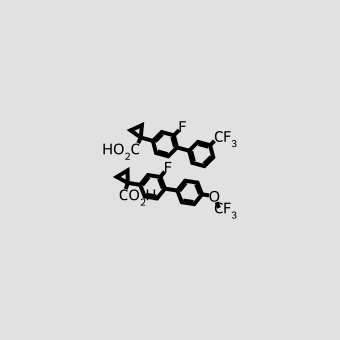 O=C(O)C1(c2ccc(-c3ccc(OC(F)(F)F)cc3)c(F)c2)CC1.O=C(O)C1(c2ccc(-c3cccc(C(F)(F)F)c3)c(F)c2)CC1